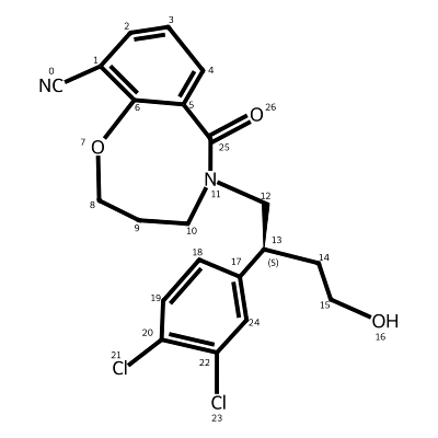 N#Cc1cccc2c1OCCCN(C[C@@H](CCO)c1ccc(Cl)c(Cl)c1)C2=O